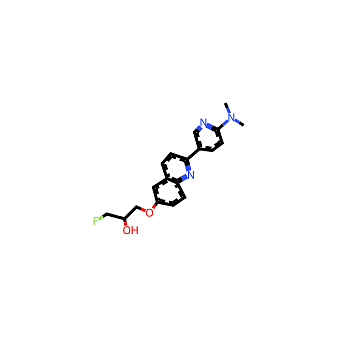 CN(C)c1ccc(-c2ccc3cc(OCC(O)CF)ccc3n2)cn1